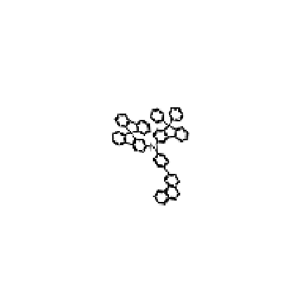 c1ccc(C2(c3ccccc3)c3ccccc3-c3cc(N(c4ccc(-c5ccc6ccc7ccccc7c6c5)cc4)c4ccc5c(c4)C4(c6ccccc6-c6ccccc64)c4ccccc4-5)ccc32)cc1